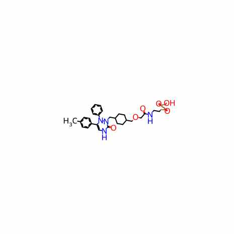 Cc1ccc(C2=CNC(=O)N(CC3CCC(COCC(=O)NCCS(=O)(=O)O)CC3)N2c2ccccc2)cc1